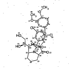 COc1ccc(OCCN2C[C@H]([C@@H](O)CO)C3CCCC(C2=O)N3S(=O)(=O)c2cc(Cl)cc(Cl)c2)cc1OC